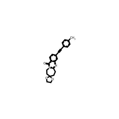 Cc1ccc(C#Cc2ccc3c(=O)n4c(nc3c2)CCC2(CC4)OCCO2)cc1